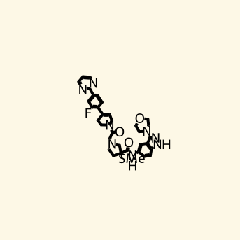 CS[C@@]1(C(=O)Nc2ccc3[nH]nc(N4CCOCC4)c3c2)CCN(CC(=O)N2CC=C(c3ccc(-c4ncccn4)cc3F)CC2)C1